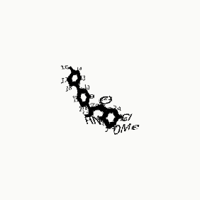 COc1cc2[nH]c(C)c(-c3ccc(-c4ccc(C)cc4)cc3)c(=O)c2cc1Cl